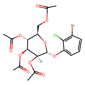 CC(=O)OC[C@H]1O[C@H](Oc2cccc(Br)c2Cl)[C@@](C)(OC(C)=O)[C@@H](OC(C)=O)[C@@H]1OC(C)=O